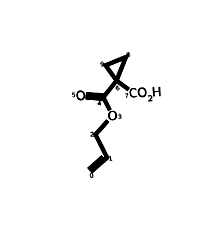 C=CCOC(=O)C1(C(=O)O)CC1